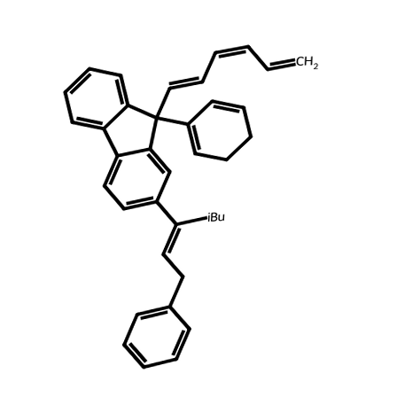 C=C/C=C\C=CC1(C2=CCCC=C2)c2ccccc2-c2ccc(/C(=C/Cc3ccccc3)C(C)CC)cc21